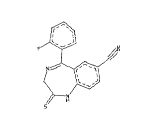 N#Cc1ccc2c(c1)C(c1ccccc1F)=NCC(=S)N2